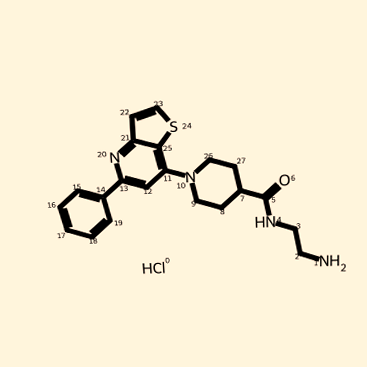 Cl.NCCNC(=O)C1CCN(c2cc(-c3ccccc3)nc3ccsc23)CC1